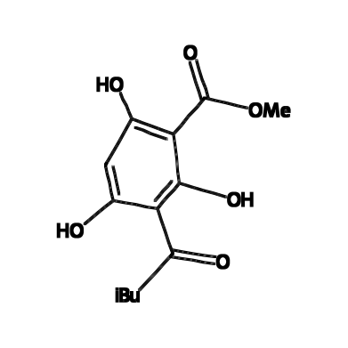 CCC(C)C(=O)c1c(O)cc(O)c(C(=O)OC)c1O